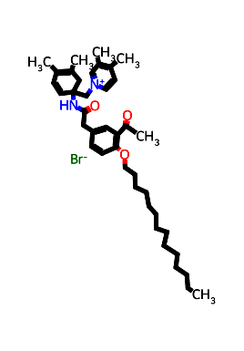 CCCCCCCCCCCCCCOc1ccc(CC(=O)NC2(C[n+]3ccc(C)c(C)c3)C=CC(C)=C(C)C2)cc1C(C)=O.[Br-]